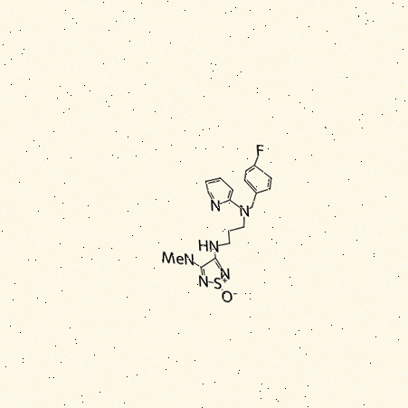 CNc1n[s+]([O-])nc1NCCCN(Cc1ccc(F)cc1)c1ccccn1